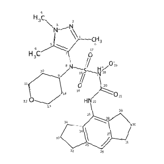 Cc1nn(C)c(C)c1N(C1CCOCC1)S(=O)(=O)[NH+]([O-])C(=O)Nc1c2c(cc3c1CCC3)CCC2